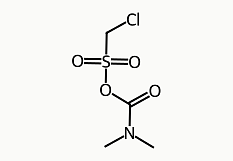 CN(C)C(=O)OS(=O)(=O)CCl